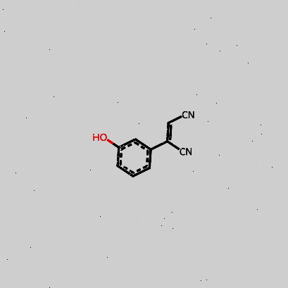 N#CC=C(C#N)c1cccc(O)c1